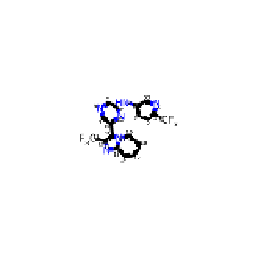 FC(F)(F)c1ccc(Nc2cncc(-c3c(C(F)(F)F)nc4ccccn34)n2)cn1